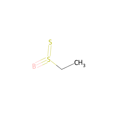 B#S(=S)CC